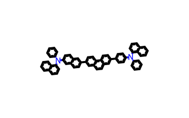 c1ccc(N(c2ccc(-c3ccc4c(ccc5cc(-c6ccc7cc(N(c8ccccc8)c8cccc9ccccc89)ccc7c6)ccc54)c3)cc2)c2cccc3ccccc23)cc1